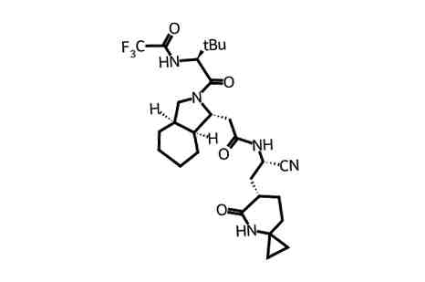 CC(C)(C)[C@H](NC(=O)C(F)(F)F)C(=O)N1C[C@@H]2CCCC[C@@H]2[C@H]1CC(=O)N[C@H](C#N)C[C@@H]1CCC2(CC2)NC1=O